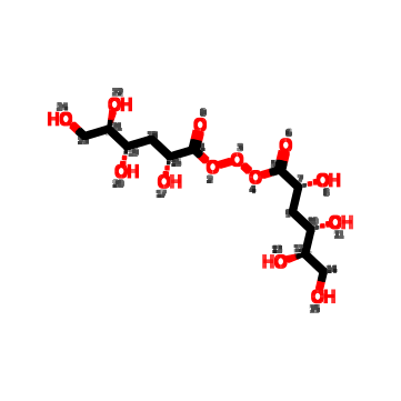 O=C(OOOC(=O)[C@H](O)C[C@H](O)[C@H](O)CO)[C@H](O)C[C@H](O)[C@H](O)CO